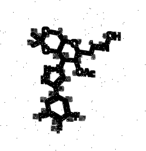 CC(=O)OC1C(CC=NO)OC2COC(C)(C)OC2C1n1cc(-c2cc(F)c(F)c(F)c2)nn1